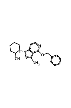 N#CC1CCCC[C@@H]1n1nc(N)c2c(OCc3ccccc3)nccc21